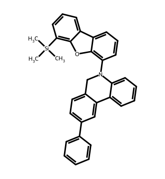 C[Si](C)(C)c1cccc2c1oc1c(N3Cc4ccc(-c5ccccc5)cc4-c4ccccc43)cccc12